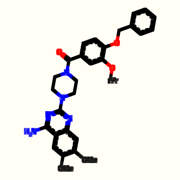 CCCOc1cc(C(=O)N2CCN(c3nc(N)c4cc(OC)c(OC)cc4n3)CC2)ccc1OCc1ccccc1